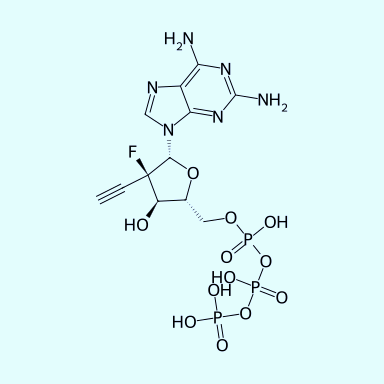 C#C[C@@]1(F)[C@H](O)[C@@H](COP(=O)(O)OP(=O)(O)OP(=O)(O)O)O[C@H]1n1cnc2c(N)nc(N)nc21